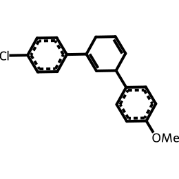 COc1ccc(C2C=CCC(c3ccc(Cl)cc3)=C2)cc1